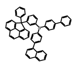 c1ccc(-c2ccc(N(c3ccc(-c4cccc5ccccc45)cc3)c3cccc(C4(c5ccccc5)c5cccc6ccc7cccc4c7c56)c3)cc2)cc1